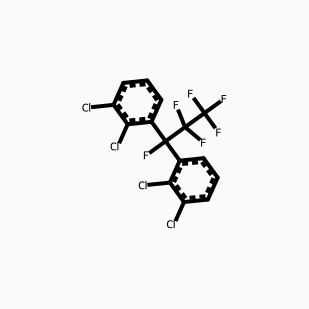 FC(F)(F)C(F)(F)C(F)(c1cccc(Cl)c1Cl)c1cccc(Cl)c1Cl